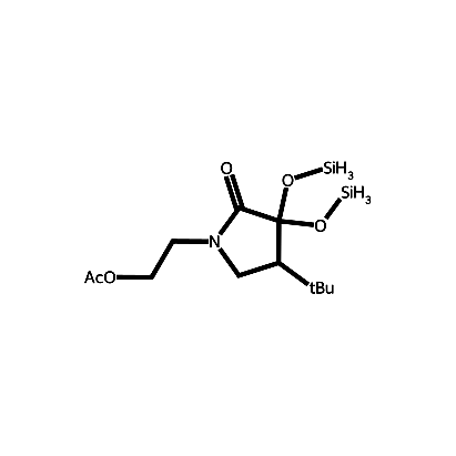 CC(=O)OCCN1CC(C(C)(C)C)C(O[SiH3])(O[SiH3])C1=O